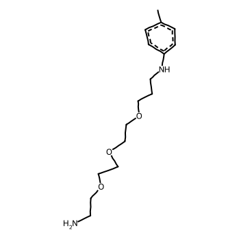 Cc1ccc(NCCCOCCOCCOCCN)cc1